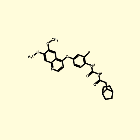 COc1cc2nccc(Oc3ccc(NC(=O)NC(=O)CC4C5CCC4CC5)c(F)c3)c2cc1OC